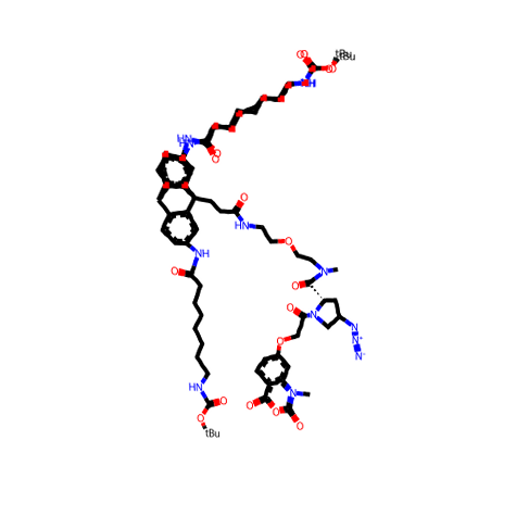 CN(CCOCCNC(=O)CCC12c3cc(NC(=O)CCCCCCCNC(=O)OC(C)(C)C)ccc3C(c3ccc(NC(=O)CCCCCCCNC(=O)OC(C)(C)C)cc31)c1ccc(NC(=O)CCCCCCCNC(=O)OC(C)(C)C)cc12)C(=O)[C@@H]1CC(N=[N+]=[N-])CN1C(=O)COc1ccc2c(=O)oc(=O)n(C)c2c1